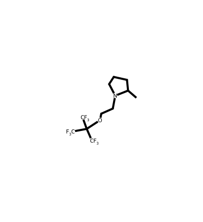 CC1CCCN1CCOC(C(F)(F)F)(C(F)(F)F)C(F)(F)F